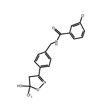 O=C(NCc1ccc(C2=NOC(O)(C(F)(F)F)C2)cc1)c1cccc(Cl)c1